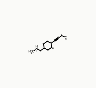 CNCC1CCC(C#CCCl)CC1